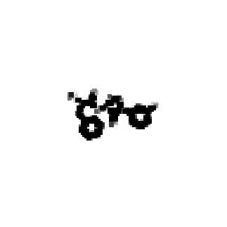 CCN(Cc1ccccc1)C(=O)On1nnn(-c2cccc(F)c2)c1=O